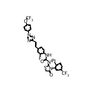 CC(C)c1ccc(C(F)(F)F)cc1N1C(=O)CSC1=NC(=O)Nc1ccc(C=Cc2ncn(-c3ccc(OC(F)(F)F)cc3)n2)cc1F